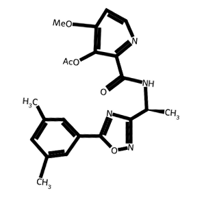 COc1ccnc(C(=O)N[C@@H](C)c2noc(-c3cc(C)cc(C)c3)n2)c1OC(C)=O